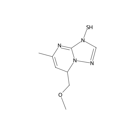 COCC1C=C(C)N=C2N(S)C=NN21